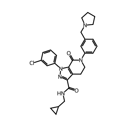 O=C(NCC1CC1)c1nn(-c2cccc(Cl)c2)c2c1CCN(c1cccc(CN3CCCC3)c1)C2=O